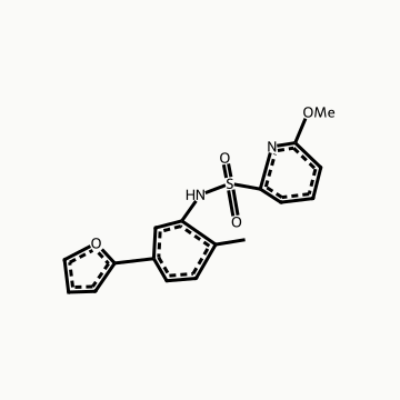 COc1cccc(S(=O)(=O)Nc2cc(-c3ccco3)ccc2C)n1